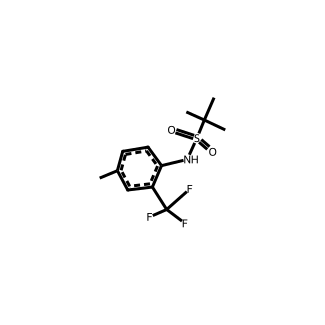 Cc1ccc(NS(=O)(=O)C(C)(C)C)c(C(F)(F)F)c1